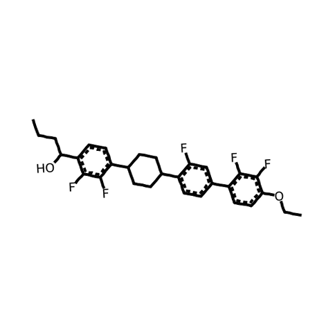 CCCC(O)c1ccc(C2CCC(c3ccc(-c4ccc(OCC)c(F)c4F)cc3F)CC2)c(F)c1F